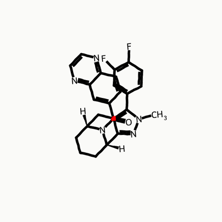 Cn1nc2c(c1-c1ccc(F)c(F)c1)C[C@H]1CCC[C@@H]2N1C(=O)c1ccc2nccnc2c1